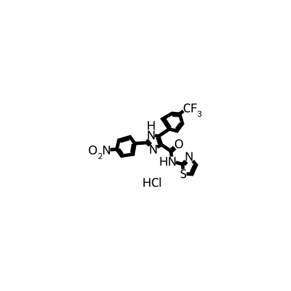 Cl.O=C(Nc1nccs1)c1nc(-c2ccc([N+](=O)[O-])cc2)[nH]c1-c1ccc(C(F)(F)F)cc1